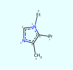 CCn1cnc(C)c1C(C)C